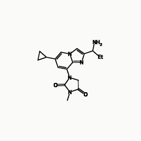 CCC(N)c1cn2cc(C3CC3)cc(N3CC(=O)N(C)C3=O)c2n1